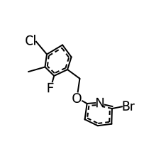 Cc1c(Cl)ccc(COc2cccc(Br)n2)c1F